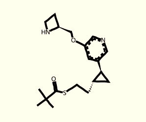 CC(C)(C)C(=O)SCC[C@H]1C[C@@H]1c1cncc(OC[C@@H]2CCN2)c1